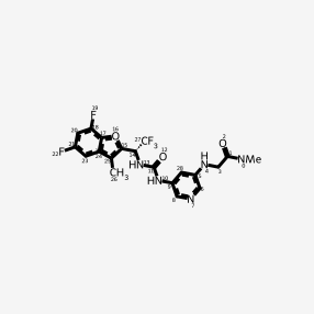 CNC(=O)CNc1cncc(NC(=O)N[C@H](c2oc3c(F)cc(F)cc3c2C)C(F)(F)F)c1